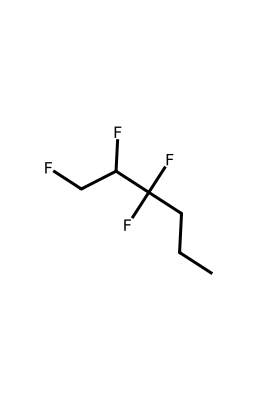 CCCC(F)(F)C(F)CF